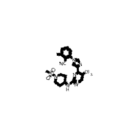 Cc1cccc(-n2cnc(-c3nc(NC4CCN(S(C)(=O)=O)CC4)ncc3C(F)(F)F)c2)c1C#N